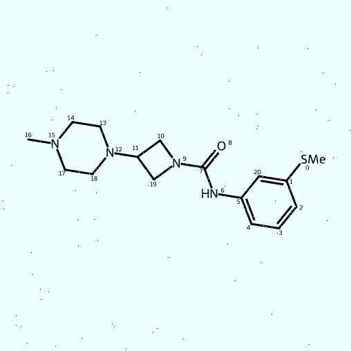 CSc1cccc(NC(=O)N2CC(N3CCN(C)CC3)C2)c1